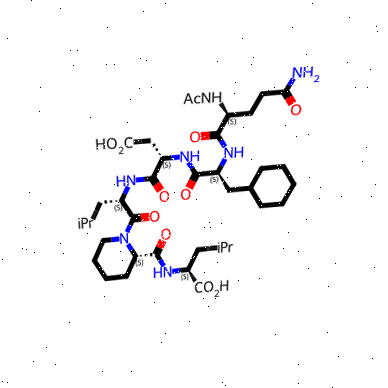 CC(=O)N[C@@H](CCC(N)=O)C(=O)N[C@@H](CC1CCCCC1)C(=O)N[C@@H](CC(=O)O)C(=O)N[C@@H](CC(C)C)C(=O)N1CCCC[C@H]1C(=O)N[C@@H](CC(C)C)C(=O)O